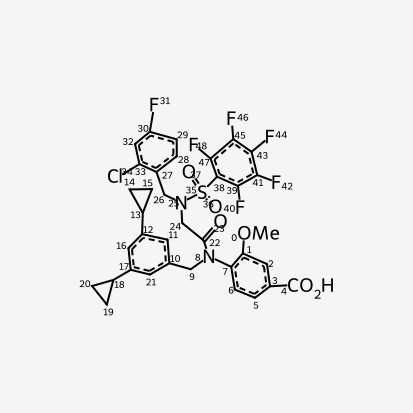 COc1cc(C(=O)O)ccc1N(Cc1cc(C2CC2)cc(C2CC2)c1)C(=O)CN(Cc1ccc(F)cc1Cl)S(=O)(=O)c1c(F)c(F)c(F)c(F)c1F